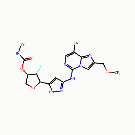 CC(C)NC(=O)O[C@@H]1CO[C@H](c2cc(Nc3ncc(C#N)c4nc(COC(F)(F)F)cn34)n[nH]2)[C@H]1F